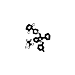 Cc1cccc(Cn2c(-c3ccccc3)c(CN3CCC(c4c(Cl)cccc4Cl)CC3)c3ccccc32)c1.O=C(O)C(F)(F)F